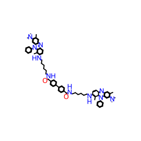 CC1=C(NCCCCCCNC(=O)c2ccc(-c3ccc(C(=O)NCCCCCCNc4ccc5nc6cc(C)c(N(C)C)cc6[n+](-c6ccccc6)c5c4C)cc3)cc2)C=CC2=Nc3cc(C)c(N(C)C)cc3N(c3ccccc3)C21